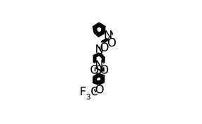 CN(C(=O)CON=C1CCN(S(=O)(=O)c2ccc(OC(F)(F)F)cc2)CC1)c1ccccc1